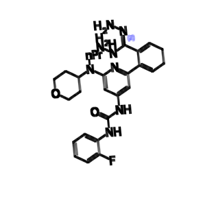 CCCN(c1cc(NC(=O)Nc2ccccc2F)cc(C2=CCCC=C2/C(=N/N)NN)n1)C1CCOCC1